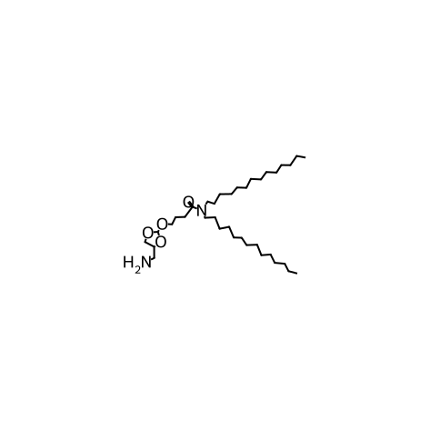 CCCCCCCCCCCCCCN(CCCCCCCCCCCCCC)C(=O)CCCOC1OCC(CN)O1